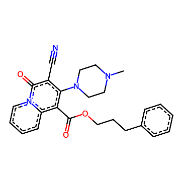 CN1CCN(c2c(C#N)c(=O)n3ccccc3c2C(=O)OCCCc2ccccc2)CC1